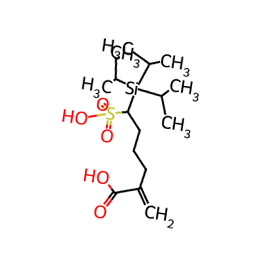 C=C(CCCC([Si](C(C)C)(C(C)C)C(C)C)S(=O)(=O)O)C(=O)O